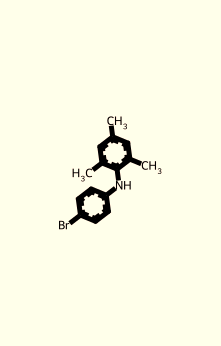 Cc1cc(C)c(Nc2ccc(Br)cc2)c(C)c1